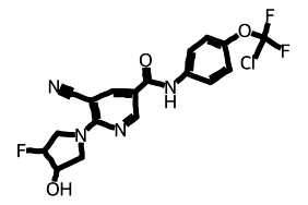 N#Cc1cc(C(=O)Nc2ccc(OC(F)(F)Cl)cc2)cnc1N1CC(O)C(F)C1